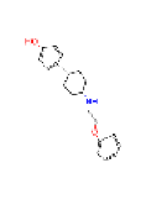 Oc1ccc([C@H]2CC[C@@H](NCCOc3ccccc3)CC2)cc1